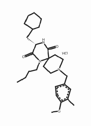 CCCCN1C(=O)[C@H](CC2CCCCC2)NC(=O)C12CCN(Cc1ccc(OC)c(C)c1)CC2.Cl